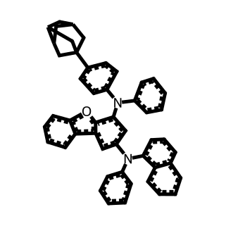 c1ccc(N(c2cc(N(c3ccccc3)c3ccc(C45CC6CC(C4)C(C6)C5)cc3)c3oc4ccccc4c3c2)c2cccc3ccccc23)cc1